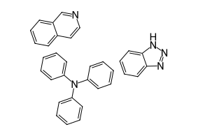 c1ccc(N(c2ccccc2)c2ccccc2)cc1.c1ccc2[nH]nnc2c1.c1ccc2cnccc2c1